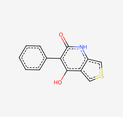 O=c1[nH]c2cscc2c(O)c1-c1ccccc1